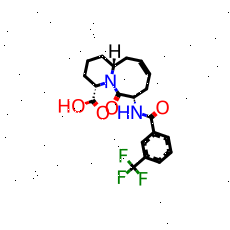 O=C(N[C@H]1C/C=C\C[C@H]2CCC[C@@H](C(=O)O)N2C1=O)c1cccc(C(F)(F)F)c1